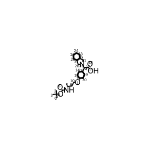 CC(C)(C)OC(=O)NCCCOc1ccc([C@H](C(=O)O)N2Cc3ccccc3C2)cc1